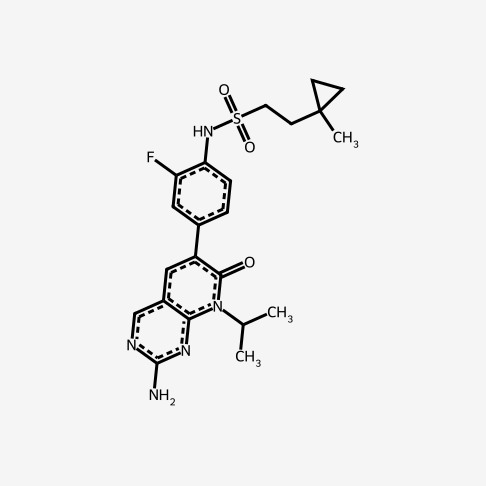 CC(C)n1c(=O)c(-c2ccc(NS(=O)(=O)CCC3(C)CC3)c(F)c2)cc2cnc(N)nc21